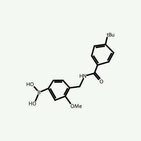 COc1cc(B(O)O)ccc1CNC(=O)c1ccc(C(C)(C)C)cc1